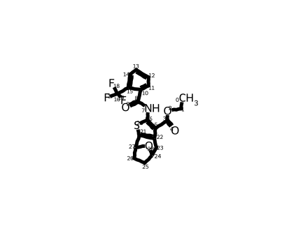 CCOC(=O)c1c(NC(=O)c2ccccc2C(F)(F)F)sc2c1CC1CCC2O1